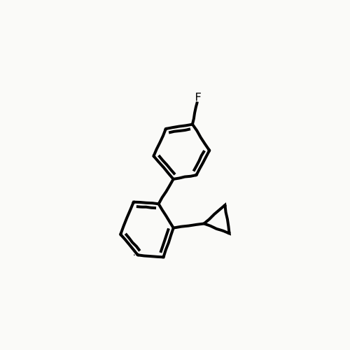 Fc1ccc(-c2cc[c]cc2C2CC2)cc1